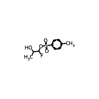 Cc1ccc(S(=O)(=O)OC(F)C(C)O)cc1